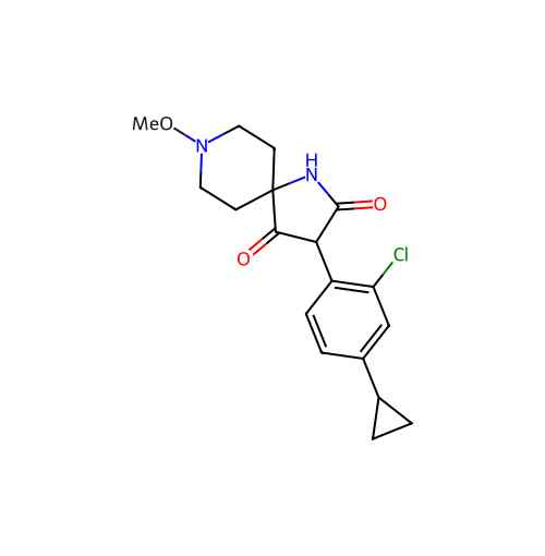 CON1CCC2(CC1)NC(=O)C(c1ccc(C3CC3)cc1Cl)C2=O